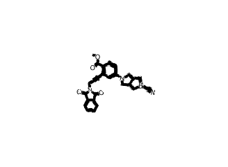 COC(=O)c1ccc(N2CC3CB(C#N)CC3C2)cc1C#CCN1C(=O)c2ccccc2C1=O